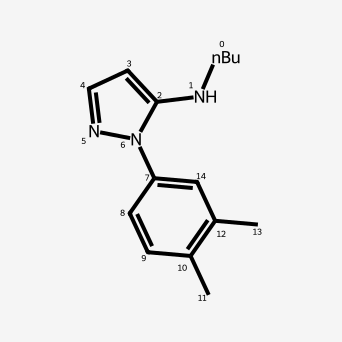 CCCCNc1ccnn1-c1ccc(C)c(C)c1